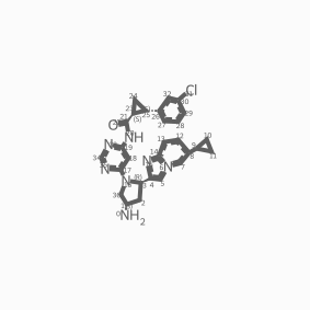 N[C@H]1C[C@H](c2cn3cc(C4CC4)ccc3n2)N(c2cc(NC(=O)[C@H]3C[C@@H]3c3cccc(Cl)c3)ncn2)C1